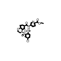 CCOC(=O)c1ccc(NC(=O)c2ccc3c(c2)N(S(=O)(=O)c2cc(Cl)ccc2OC)CCO3)cn1